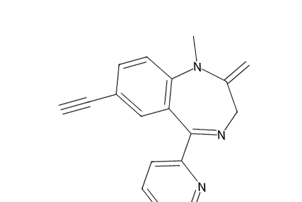 C#Cc1ccc2c(c1)C(c1ccccn1)=NCC(=C)N2C